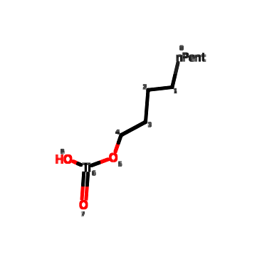 CCCCCCCCC[O][Ti](=[O])[OH]